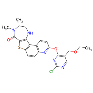 CCOCc1cnc(Cl)nc1Oc1ccc2c(ccc3sc4c(c32)NC[C@@H](C)N(C)C4=O)n1